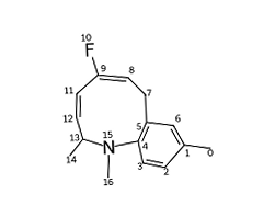 Cc1ccc2c(c1)C/C=C(F)\C=C/C(C)N2C